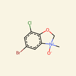 C[N+]1([O-])COc2c(Cl)cc(Br)cc21